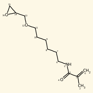 C=C(C)C(=O)NCCCCCCOCC1CO1